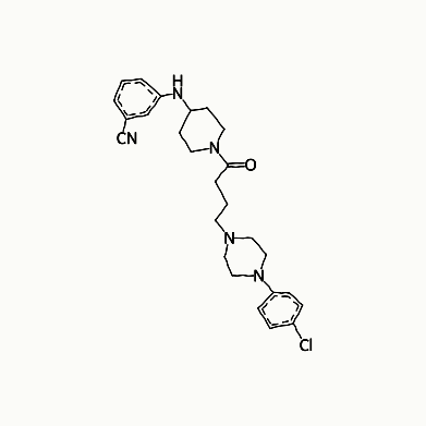 N#Cc1cccc(NC2CCN(C(=O)CCCN3CCN(c4ccc(Cl)cc4)CC3)CC2)c1